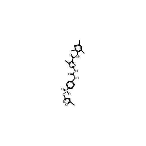 Cc1cc(C)c(NC(=O)c2sc(NC(=O)Nc3ccc(S(=O)(=O)Oc4cc(C)on4)cc3)nc2C)c(C)c1